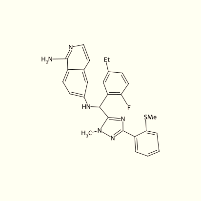 CCc1ccc(F)c(C(Nc2ccc3c(N)nccc3c2)c2nc(-c3ccccc3SC)nn2C)c1